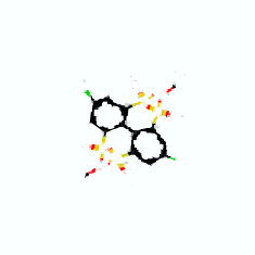 COS(=O)(=O)c1cc(Cl)cc(S(=O)(=O)[O-])c1-c1c(S(=O)(=O)[O-])cc(Cl)cc1S(=O)(=O)OC.[Na+].[Na+]